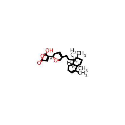 CC1=CCC[C@@H]2[C@@](C)(CCC3=CC[C@H](C4=CC(=O)O[C@H]4O)OC3)[C@@H](C)CC[C@@]12C